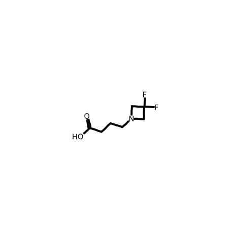 O=C(O)CCCN1CC(F)(F)C1